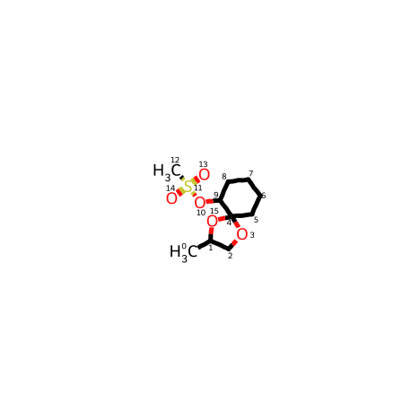 CC1COC2(CCCCC2OS(C)(=O)=O)O1